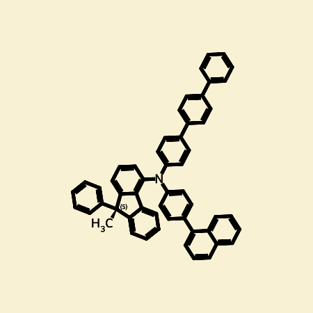 C[C@]1(c2ccccc2)c2ccccc2-c2c(N(c3ccc(-c4ccc(-c5ccccc5)cc4)cc3)c3ccc(-c4cccc5ccccc45)cc3)cccc21